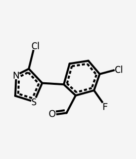 O=Cc1c(-c2scnc2Cl)ccc(Cl)c1F